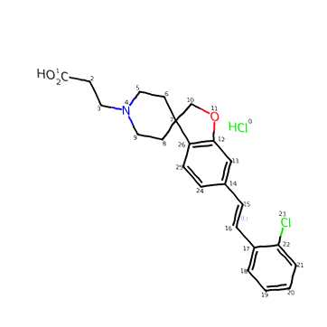 Cl.O=C(O)CCN1CCC2(CC1)COc1cc(/C=C/c3ccccc3Cl)ccc12